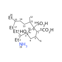 CCC(CC)CCC(C)C(C(=O)O)C(C(=O)O)(C(C)CCC(CC)CC)S(=O)(=O)O.N